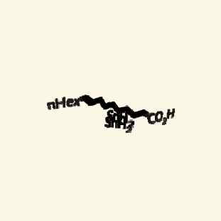 CCCCCCC=CCCCCCCCC(=O)O.[SnH2].[SnH2]